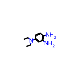 CCN(CC)c1ccc(N)c(N)c1